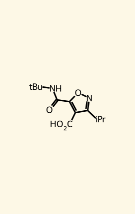 CC(C)c1noc(C(=O)NC(C)(C)C)c1C(=O)O